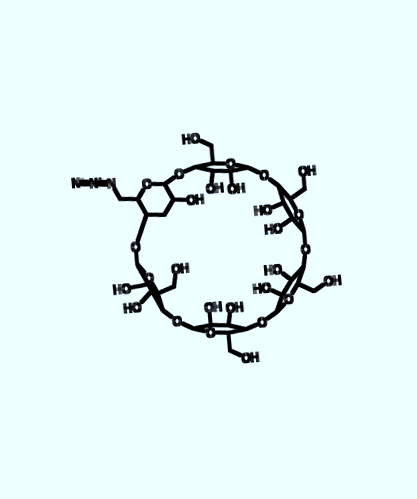 [N-]=[N+]=NCC1OC2OC3C(CO)OC(OC4C(CO)OC(OC5C(CO)OC(OC6C(CO)OC(OC7C(CO)OC(OC1CC2O)C(O)C7O)C(O)C6O)C(O)C5O)C(O)C4O)C(O)C3O